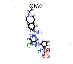 COCCN1CCc2ccc(Nc3ncc(Cl)c(N[C@@H]4CCC[C@H]4NS(C)(=O)=O)n3)cc2CC1